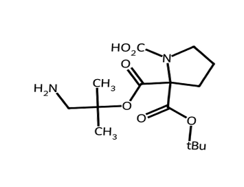 CC(C)(C)OC(=O)C1(C(=O)OC(C)(C)CN)CCCN1C(=O)O